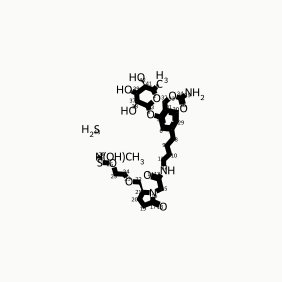 CC1OC(Oc2cc(CCCCNC(=O)CN3C(=O)CC[C@H]3COCCOSN(C)O)ccc2COC(N)=O)[C@H](O)C(O)[C@@H]1O.S